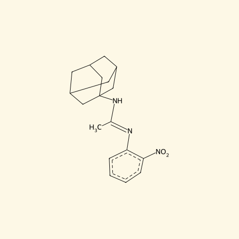 C/C(=N\c1ccccc1[N+](=O)[O-])NC12CC3CC(CC(C3)C1)C2